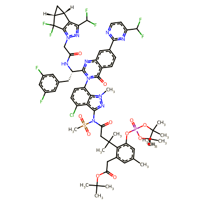 Cc1cc(CC(=O)OC(C)(C)C)c(C(C)(C)CC(=O)N(c2nn(C)c3c(-n4c([C@H](Cc5cc(F)cc(F)c5)NC(=O)Cn5nc(C(F)F)c6c5C(F)(F)[C@@H]5C[C@H]65)nc5cc(-c6nccc(C(F)F)n6)ccc5c4=O)ccc(Cl)c23)S(C)(=O)=O)c(OP(=O)(OC(C)(C)C)OC(C)(C)C)c1